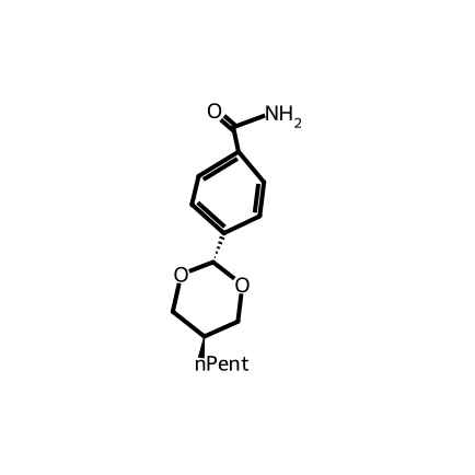 CCCCC[C@H]1CO[C@H](c2ccc(C(N)=O)cc2)OC1